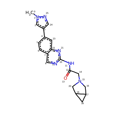 Cn1cc(-c2ccc3cnc(NC(=O)CN4CC5CC5C4)nc3c2)cn1